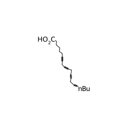 CCCCC#CCC#CCC#CCC#CCCCCCC(=O)O